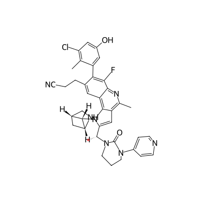 Cc1c(Cl)cc(O)cc1-c1c(CCC#N)cc2c(nc(C)c3cc([C@@H](C)N4CCCN(c5ccncc5)C4=O)n([C@H]4[C@H]5CN[C@@H]4C5)c32)c1F